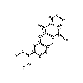 C=C1C(Oc2cc(N(CC)CC)ccc2C)=CC(=O)c2ccccc21